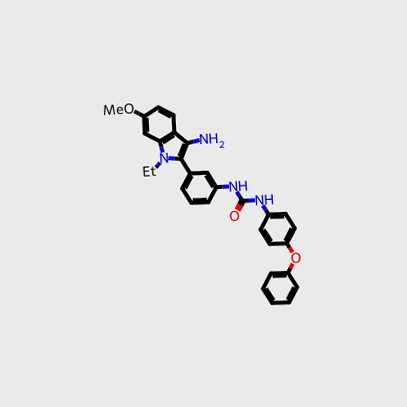 CCn1c(-c2cccc(NC(=O)Nc3ccc(Oc4ccccc4)cc3)c2)c(N)c2ccc(OC)cc21